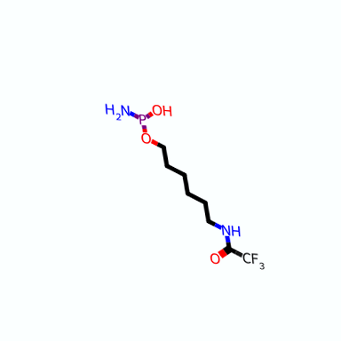 NP(O)OCCCCCCNC(=O)C(F)(F)F